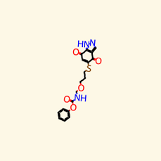 O=C(NCOCCCSC1=CC(=O)c2[nH]ncc2C1=O)Oc1ccccc1